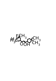 CCC(CC(C)(C)F)C(=O)/C=C(\O)C1CCC(CC)(CC)CC1